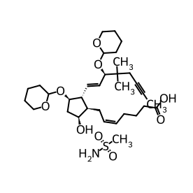 CC#CCC(C)(C)[C@@H](/C=C/[C@@H]1[C@@H](C/C=C\CCCC(=O)O)[C@@H](O)C[C@H]1OC1CCCCO1)OC1CCCCO1.CS(N)(=O)=O